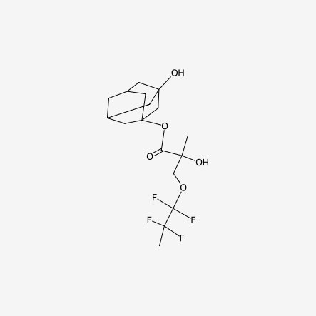 CC(O)(COC(F)(F)C(C)(F)F)C(=O)OC12CC3CC(CC(O)(C3)C1)C2